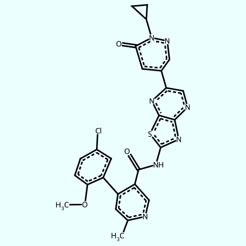 COc1ccc(Cl)cc1-c1cc(C)ncc1C(=O)Nc1nc2ncc(-c3cnn(C4CC4)c(=O)c3)nc2s1